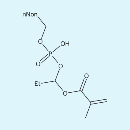 C=C(C)C(=O)OC(CC)OP(=O)(O)OCCCCCCCCCC